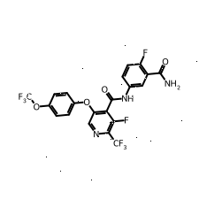 NC(=O)c1cc(NC(=O)c2c(Oc3ccc(OC(F)(F)F)cc3)cnc(C(F)(F)F)c2F)ccc1F